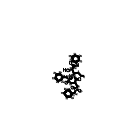 CCCC(NC(=O)C(CS(=O)(=O)Cc1ccccc1)CS(=O)(=O)Cc1ccccc1)[C@H](O)c1nc2ccccc2o1